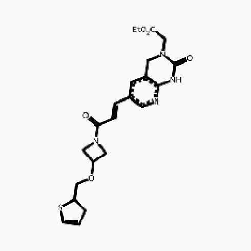 CCOC(=O)CN1Cc2cc(/C=C/C(=O)N3CC(OCC4CC=CS4)C3)cnc2NC1=O